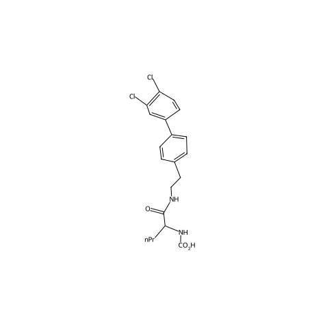 CCCC(NC(=O)O)C(=O)NCCc1ccc(-c2ccc(Cl)c(Cl)c2)cc1